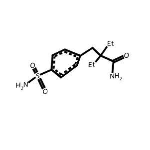 CCC(CC)(Cc1ccc(S(N)(=O)=O)cc1)C(N)=O